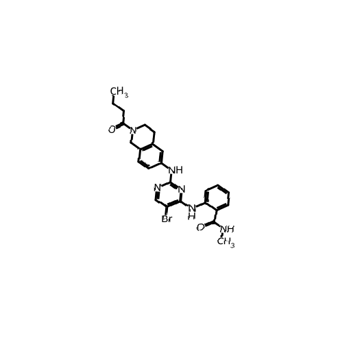 CCCC(=O)N1CCc2cc(Nc3ncc(Br)c(Nc4ccccc4C(=O)NC)n3)ccc2C1